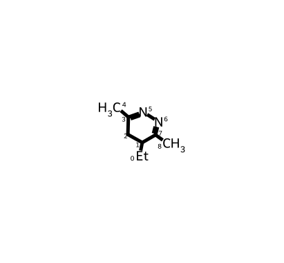 CCC1CC(C)=NN=C1C